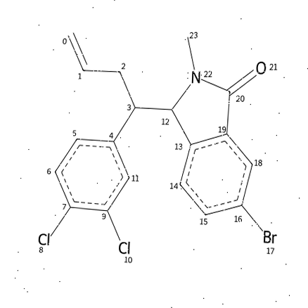 C=CCC(c1ccc(Cl)c(Cl)c1)C1c2ccc(Br)cc2C(=O)N1C